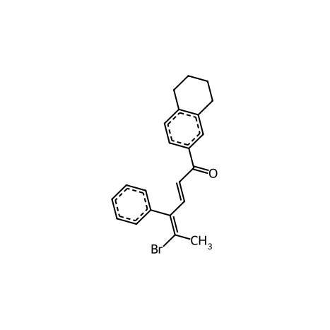 C/C(Br)=C(\C=C\C(=O)c1ccc2c(c1)CCCC2)c1ccccc1